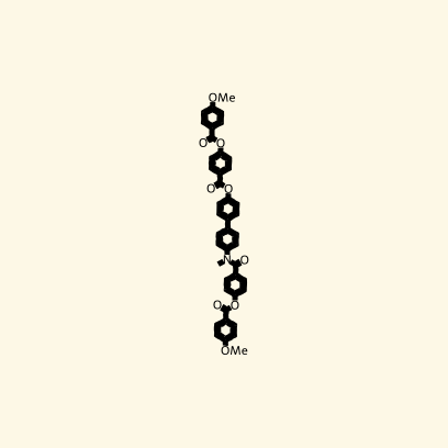 COc1ccc(C(=O)Oc2ccc(C(=O)Oc3ccc(-c4ccc(N(C)C(=O)c5ccc(OC(=O)c6ccc(OC)cc6)cc5)cc4)cc3)cc2)cc1